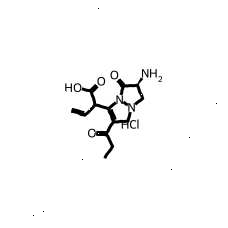 C=CC(C(=O)O)C1=C(C(=O)CC)CN2C[C@H](N)C(=O)N12.Cl